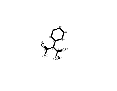 CCC(=O)C(C(=O)C(C)(C)C)C1CCCCC1